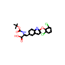 CC(C)(C)OC(=O)NC(=Cc1ccc2nc(Oc3c(Cl)cccc3Cl)ccc2c1)C(=O)O